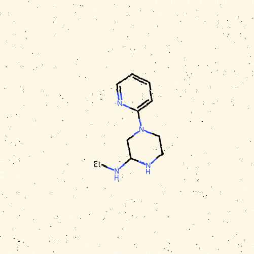 CCNC1CN(c2ccccn2)CCN1